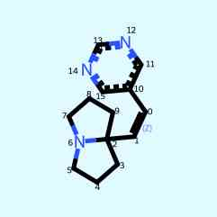 C(=C/C12CCCN1CCC2)/c1cncnc1